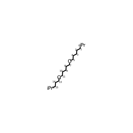 CC(C)CCCCCOCCCCCOCCCC(C)C